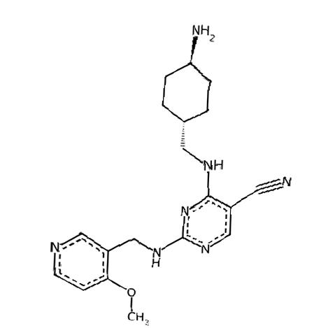 COc1ccncc1CNc1ncc(C#N)c(NC[C@H]2CC[C@H](N)CC2)n1